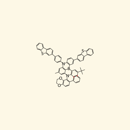 Cc1cc2c3c(c1)N(c1c(-c4ccccc4)ccc4c1OCCO4)c1ccc(C(C)(C)C)cc1B3c1cc(-c3ccc4c(c3)sc3ccccc34)ccc1N2c1ccc(-c2ccc3c(c2)sc2ccccc23)cc1